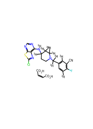 O=C(O)/C=C\C(=O)O.[2H]c1cc(C([2H])([2H])N2CCC([2H])(N([2H])c3ncnc4sc(Cl)nc34)C([2H])([2H])C2([2H])[2H])c([2H])c(C#N)c1F